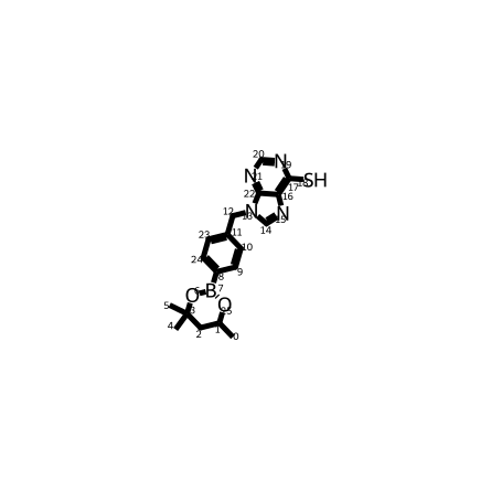 CC1CC(C)(C)OB(c2ccc(Cn3cnc4c(S)ncnc43)cc2)O1